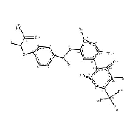 CC(Oc1ccc(C(C)Oc2cc(-n3c(=O)cc(C(F)(F)F)n(C)c3=O)c(F)cc2Cl)cc1)C(=O)O